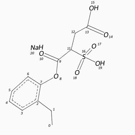 CCc1ccccc1OC(=O)C(CC(=O)O)S(=O)(=O)O.[NaH]